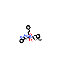 COC(=O)[C@@H](Cc1ccccc1)NC(=O)[C@H](Cc1c[nH]c2ccccc12)NC(=O)CCc1ccccc1